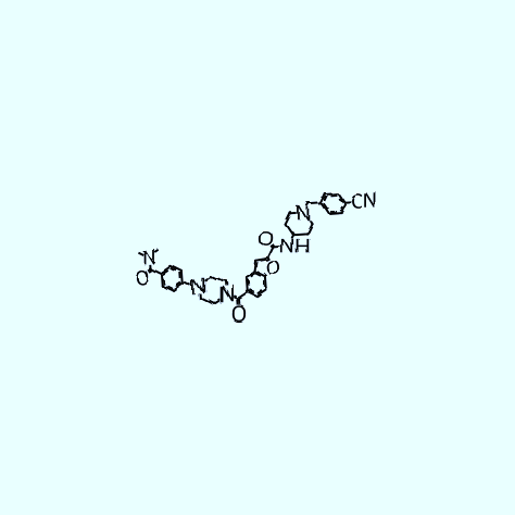 CN(C)C(=O)c1ccc(N2CCN(C(=O)c3ccc4oc(C(=O)NC5CCN(Cc6ccc(C#N)cc6)CC5)cc4c3)CC2)cc1